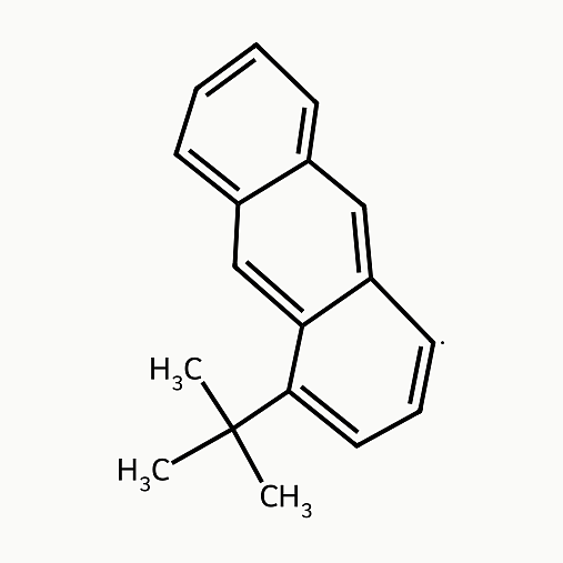 CC(C)(C)c1cc[c]c2cc3ccccc3cc12